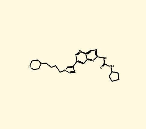 O=C(Nc1ccc2ncc(-c3cnn(CCCCN4CCOCC4)c3)cc2n1)NC1CCCC1